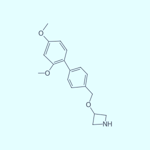 COc1ccc(-c2ccc(COC3CNC3)cc2)c(OC)c1